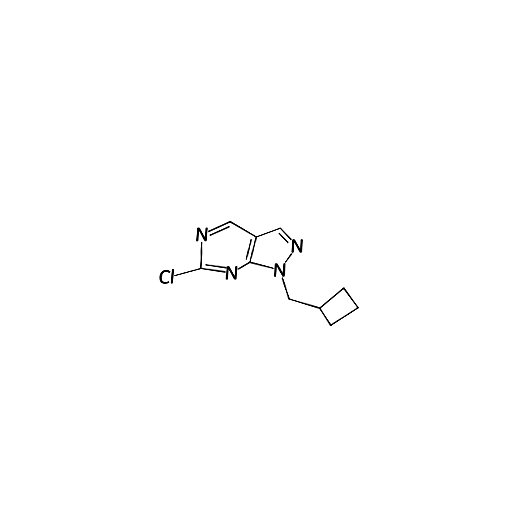 Clc1ncc2cnn(CC3CCC3)c2n1